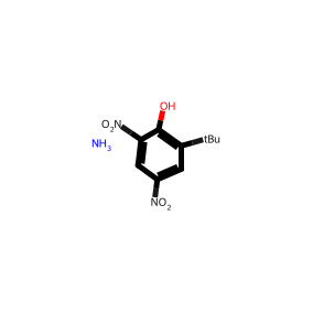 CC(C)(C)c1cc([N+](=O)[O-])cc([N+](=O)[O-])c1O.N